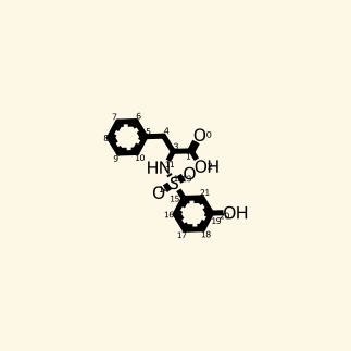 O=C(O)C(Cc1ccccc1)NS(=O)(=O)c1cccc(O)c1